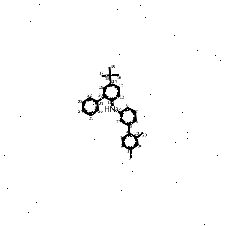 Cc1ccc(-c2cccc(Nc3ccc(C(C)(C)C)cc3-c3ccccc3)c2)c(C)c1